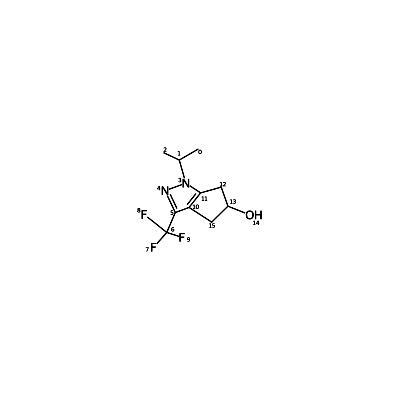 CC(C)n1nc(C(F)(F)F)c2c1CC(O)C2